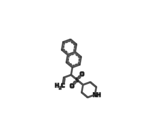 C=CC(c1ccc2ccccc2c1)S(=O)(=O)C1CCNCC1